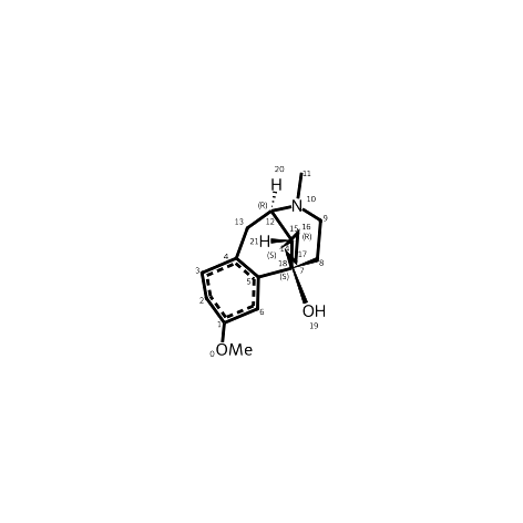 COc1ccc2c(c1)[C@]13CCN(C)[C@H](C2)[C@@H]1CCC[C@@H]3O